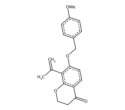 C=C(C)c1c(OCc2ccc(OC)cc2)ccc2c1OCCC2=O